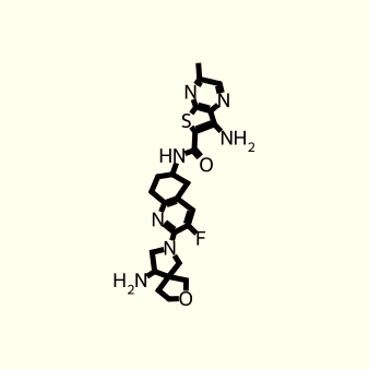 Cc1cnc2c(N)c(C(=O)NC3CCc4nc(N5CC(N)C6(CCOC6)C5)c(F)cc4C3)sc2n1